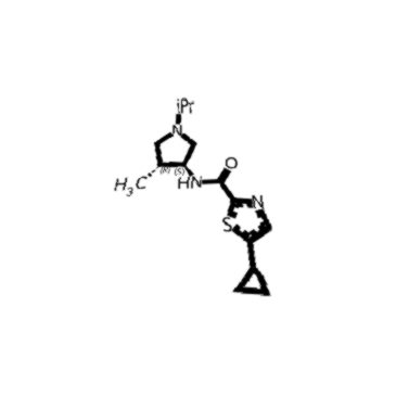 CC(C)N1C[C@@H](C)[C@H](NC(=O)c2ncc(C3CC3)s2)C1